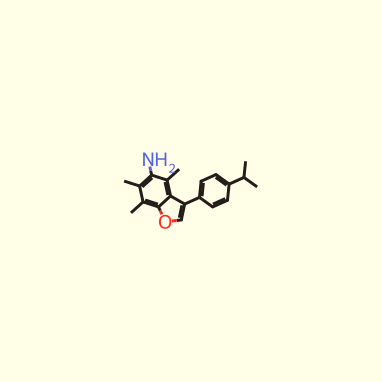 Cc1c(N)c(C)c2c(-c3ccc(C(C)C)cc3)coc2c1C